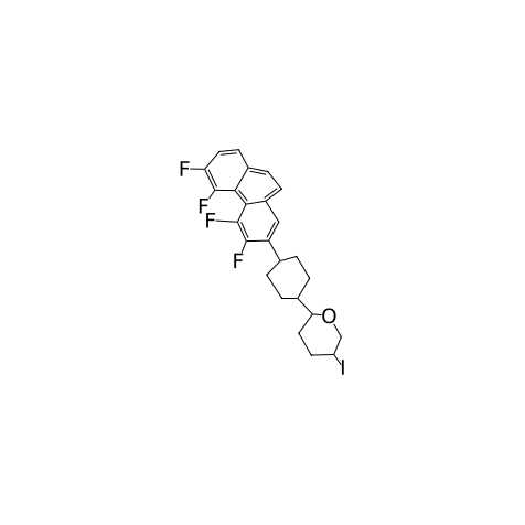 Fc1ccc2ccc3cc(C4CCC(C5CCC(I)CO5)CC4)c(F)c(F)c3c2c1F